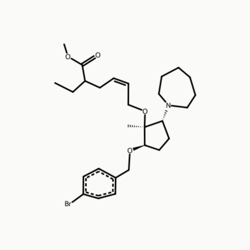 CCC(C/C=C\CO[C@]1(C)[C@H](OCc2ccc(Br)cc2)CC[C@H]1N1CCCCCC1)C(=O)OC